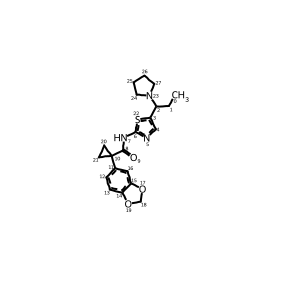 CCC(c1cnc(NC(=O)C2(c3ccc4c(c3)OCO4)CC2)s1)N1CCCC1